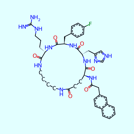 N=C(N)NCCC[C@@H]1NC(=O)[C@@H](Cc2ccc(F)cc2)NC(=O)[C@H](Cc2c[nH]cn2)NC(=O)[C@@H](NC(=O)Cc2ccc3ccccc3c2)CCC(=O)NCCCCNC1=O